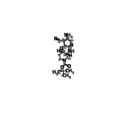 CC(C)(C)OC(=O)N1CC[C@@H]2Oc3c(ncc(N)c3C#N)N[C@@H]2C1